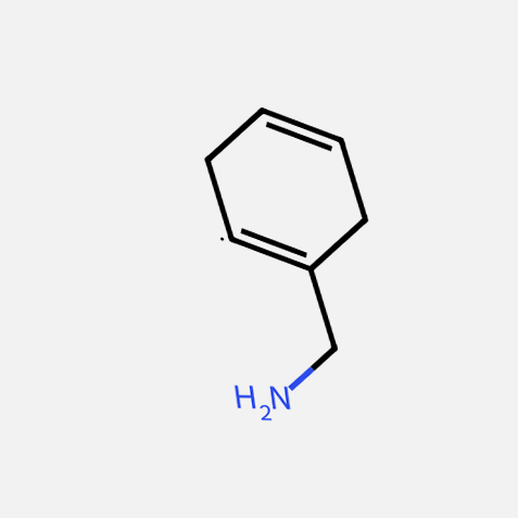 NCC1=[C]CC=CC1